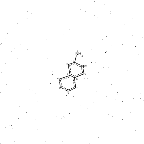 Nc1cc2c[c]ccc2cn1